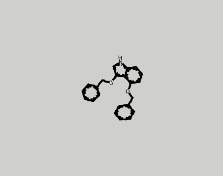 c1ccc(COc2cccc3[nH]cc(OCc4ccccc4)c23)cc1